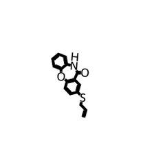 C=CCSc1ccc2c(c1)C(=O)Nc1ccccc1O2